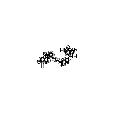 CN(Cc1ccc(-c2[nH]c3cc(F)cc4c3c2CCNC4=O)cc1)C(=O)CCCCSc1cccc2c1C(=O)N(C1CCC(=O)NC1=O)C2=O